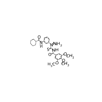 COc1cc(C(=O)NC(=S)N(N)c2cccc(NC(=O)C3CCCCC3)c2)cc(OC)c1OC